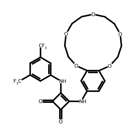 O=c1c(Nc2cc(C(F)(F)F)cc(C(F)(F)F)c2)c(Nc2ccc3c(c2)OCCOCCOCCOCCO3)c1=O